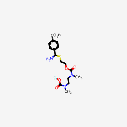 CN(CCN(C)C(=O)OCCSC(N)c1ccc(C(=O)O)cc1)C(=O)OF